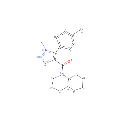 CC(=O)c1ccc(-c2c(C(=O)N3CCCC4CCCCC43)cnn2C)cc1